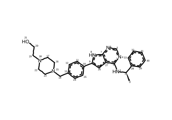 C[C@@H](Nc1ncnc2[nH]c(-c3ccc(CN4CCN(CCO)CC4)cc3)cc12)c1ccccc1